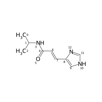 CC(C)NC(=O)C=Cc1c[nH]cn1